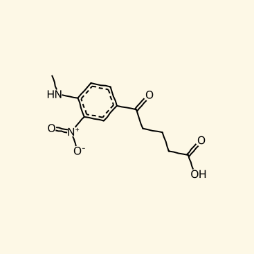 CNc1ccc(C(=O)CCCC(=O)O)cc1[N+](=O)[O-]